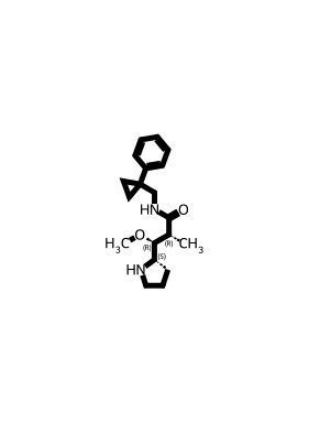 CO[C@@H]([C@@H]1CCCN1)[C@@H](C)C(=O)NCC1(c2ccccc2)CC1